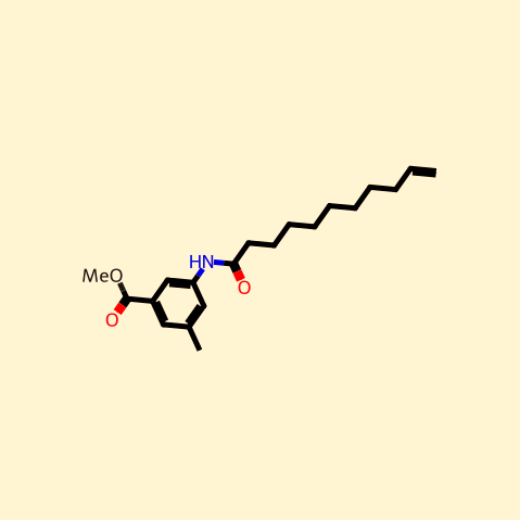 C=CCCCCCCCCC(=O)Nc1cc(C)cc(C(=O)OC)c1